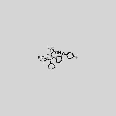 OC(CN(c1cccc(Oc2ccc(F)cc2)c1)C(C1CCCCC1)C(F)(F)C(F)(F)F)C(F)(F)F